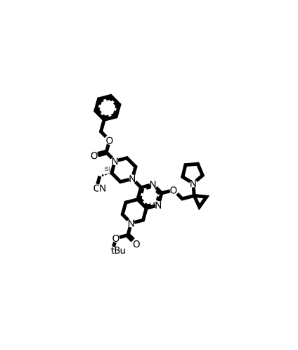 CC(C)(C)OC(=O)N1CCc2c(nc(OCC3(N4CCCC4)CC3)nc2N2CCN(C(=O)OCc3ccccc3)[C@@H](CC#N)C2)C1